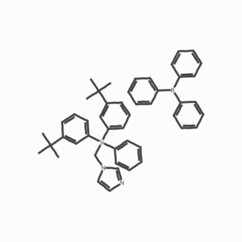 CC(C)(C)c1cccc([Si](Cn2ccnc2)(c2ccccc2)c2cccc(C(C)(C)C)c2)c1.c1ccc(B(c2ccccc2)c2ccccc2)cc1